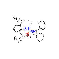 CC(C)c1cccc(C(C)C)c1NC(=O)NCC1(Cc2ccccc2)CCCCC1